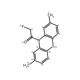 Cc1ccc2c(c1)N(C(=O)CF)c1cc(C)ccc1S2